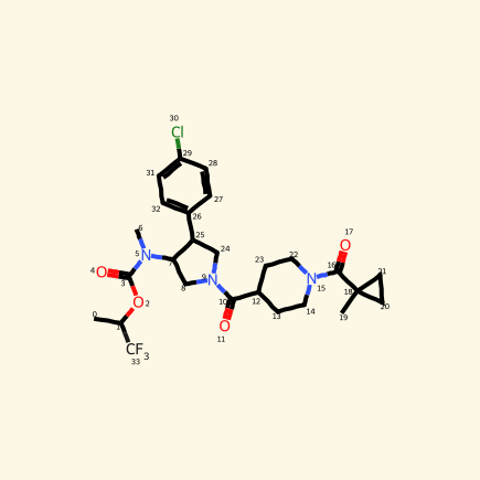 CC(OC(=O)N(C)C1CN(C(=O)C2CCN(C(=O)C3(C)CC3)CC2)CC1c1ccc(Cl)cc1)C(F)(F)F